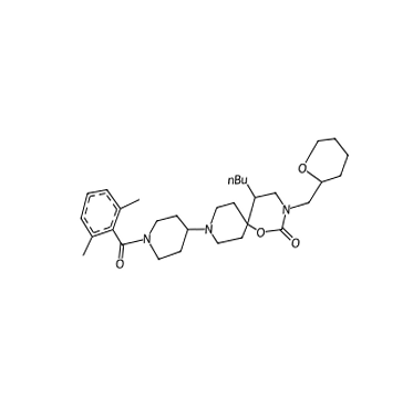 CCCCC1CN(CC2CCCCO2)C(=O)OC12CCN(C1CCN(C(=O)c3c(C)cccc3C)CC1)CC2